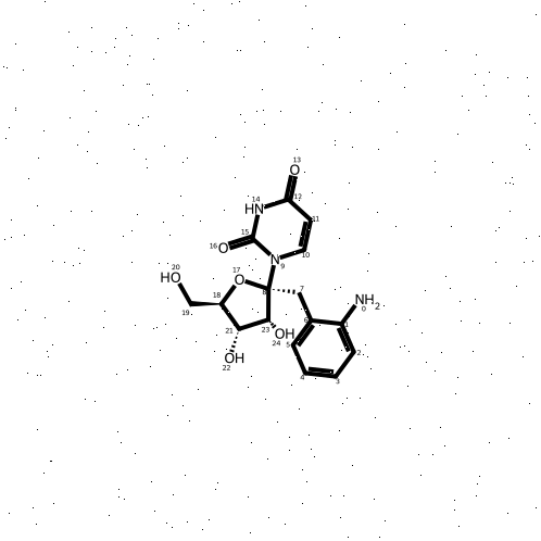 Nc1ccccc1C[C@@]1(n2ccc(=O)[nH]c2=O)O[C@H](CO)[C@@H](O)[C@H]1O